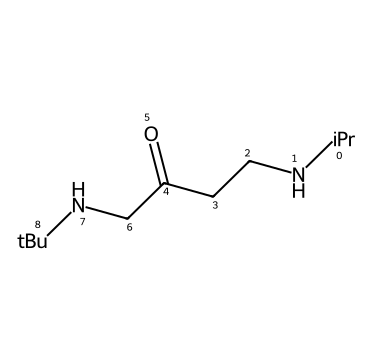 CC(C)NCCC(=O)CNC(C)(C)C